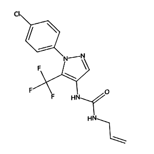 C=CCNC(=O)Nc1cnn(-c2ccc(Cl)cc2)c1C(F)(F)F